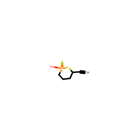 C#CC1CCCP(O)(=S)S1